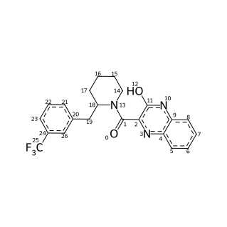 O=C(c1nc2ccccc2nc1O)N1CCCCC1Cc1cccc(C(F)(F)F)c1